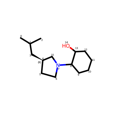 C[C](C)C[C@@H]1CCN(C2CCCCC2O)C1